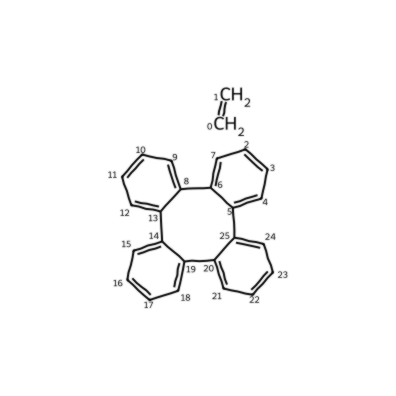 C=C.c1ccc2c(c1)-c1ccccc1-c1ccccc1-c1ccccc1-2